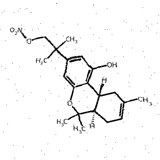 CC1=CC[C@@H]2[C@@H](C1)c1c(O)cc(C(C)(C)CO[N+](=O)[O-])cc1OC2(C)C